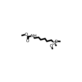 COC(=O)NCCCCCC[Si](C)(OC)OC